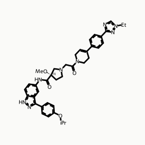 CCn1cnc(-c2ccc(C3=CCN(C(=O)CN4CC[C@@](OC)(C(=O)Nc5ccc6[nH]nc(-c7ccc(OC(C)C)cc7)c6c5)C4)CC3)cc2)n1